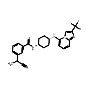 CC(C#N)c1cccc(C(=O)N[C@H]2CC[C@@H](Nc3cccc4nc(C(F)(F)F)cn34)CC2)c1